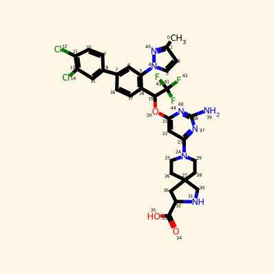 Cc1ccn(-c2cc(-c3ccc(Cl)c(Cl)c3)ccc2C(Oc2cc(N3CCC4(CC3)CNC(C(=O)O)C4)nc(N)n2)C(F)(F)F)n1